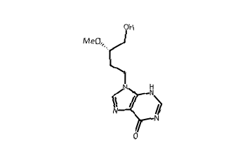 CO[C@H](CO)CCn1cnc2c(=O)nc[nH]c21